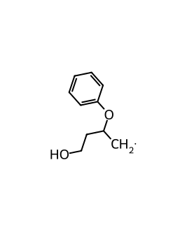 [CH2]C(CCO)Oc1ccccc1